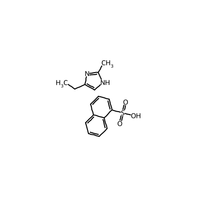 CCc1c[nH]c(C)n1.O=S(=O)(O)c1cccc2ccccc12